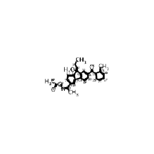 CCCC1(C)c2ccc(/C(C)=N\OC(C)=O)cc2-c2ccc(C(=O)c3ccccc3C)cc21